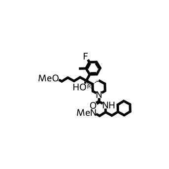 CNCC(CC1CCCCC1)NC(=O)N1CCC[C@@H]([C@](O)(CCCCOC)c2cccc(F)c2C)C1